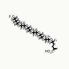 C=C(CCC(F)(F)OC(F)(F)C(F)(F)OC(F)(F)C(F)(F)OC(F)(F)C(F)(F)OC(F)(F)C(F)(F)OC(F)(F)C(F)(F)OC(F)(F)C(F)(F)C(F)(F)C(F)(F)F)C(=O)O